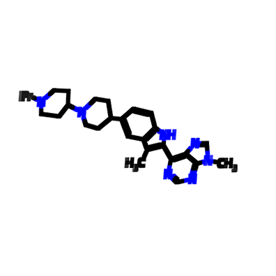 Cc1c(-c2ncnc3c2ncn3C)[nH]c2ccc(C3CCN(C4CCN(C(C)C)CC4)CC3)cc12